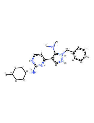 CN(C)c1c(-c2ccnc(N[C@H]3CC[C@H](C)CC3)n2)cnn1Cc1ccccc1